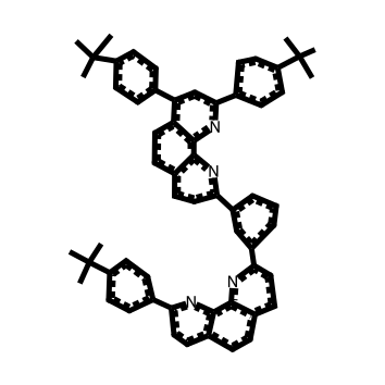 CC(C)(C)c1ccc(-c2ccc3ccc4ccc(-c5cccc(-c6ccc7ccc8c(-c9ccc(C(C)(C)C)cc9)cc(-c9ccc(C(C)(C)C)cc9)nc8c7n6)c5)nc4c3n2)cc1